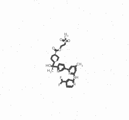 Cc1cc(Nc2cc(C(F)F)ccn2)nc(-c2ccc([C@](C)(O)[C@H]3CC[C@H](C(=O)OCCS(C)(=O)=O)CC3)nc2)c1